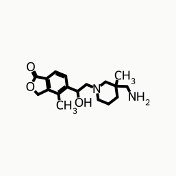 Cc1c(C(O)CN2CCCC(C)(CN)C2)ccc2c1COC2=O